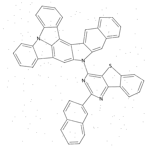 c1ccc2cc(-c3nc(-n4c5cc6ccccc6cc5c5c6c7ccccc7n7c8ccccc8c(cc54)c67)c4sc5ccccc5c4n3)ccc2c1